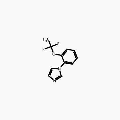 FC(F)(F)C(F)(F)Oc1ccccc1-n1[c]ncc1